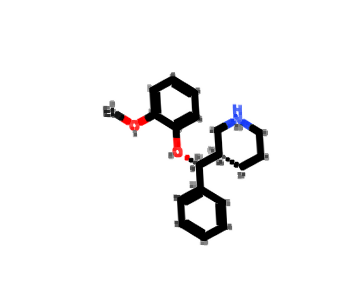 CCOc1ccccc1O[C@@H](c1ccccc1)[C@H]1CCCNC1